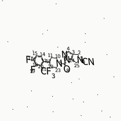 N#CN1Cc2cnn(C(=O)N3CCC(c4ccc(F)c(F)c4C(F)(F)F)CC3)c2C1